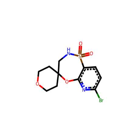 O=S1(=O)NCC2(CCOCC2)Oc2nc(Br)ccc21